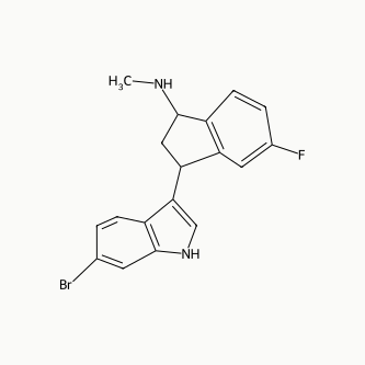 CNC1CC(c2c[nH]c3cc(Br)ccc23)c2cc(F)ccc21